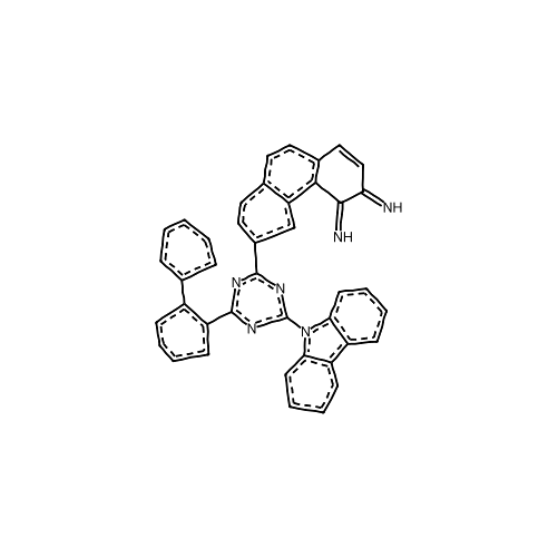 N=C1C=Cc2ccc3ccc(-c4nc(-c5ccccc5-c5ccccc5)nc(-n5c6ccccc6c6ccccc65)n4)cc3c2C1=N